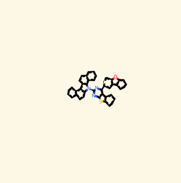 c1ccc2c(c1)ccc1c2c2ccc3ccccc3c2n1-c1nc(-c2ccc3oc4ccccc4c3c2)c2c(n1)sc1ccccc12